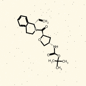 C=C[C@H]1c2ccccc2CCN1C(=O)[C@H]1C[C@H](NC(=O)OC(C)(C)C)CO1